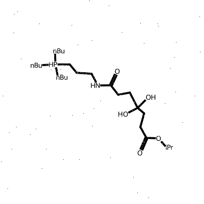 CCCC[PH](CCCC)(CCCC)CCCNC(=O)CCC(O)(O)CCC(=O)OC(C)C